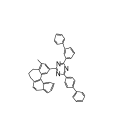 Cc1cc(-c2nc(-c3ccc(-c4ccccc4)cc3)nc(-c3cccc(-c4ccccc4)c3)n2)cc2c1CCCc1ccc3ccccc3c1-2